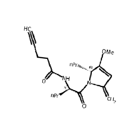 C#CCCC(=O)N[C@H](CCC)C(=O)N1C(=C)C=C(OC)[C@H]1CCC